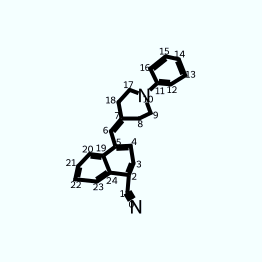 N#Cc1ccc(C=C2CCN(c3ccccc3)CC2)c2ccccc12